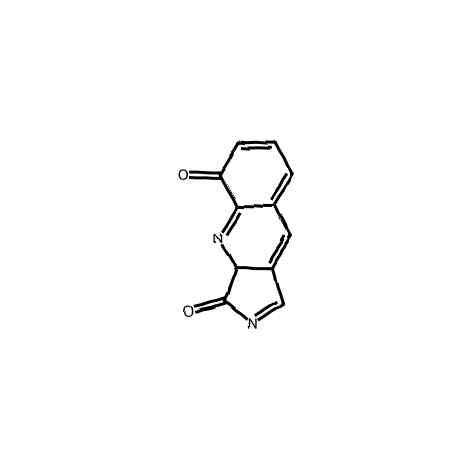 O=C1C=CC=C2C=C3C=NC(=O)C3N=C12